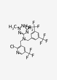 C=N/C(=N\N(C)N)N(Cc1cc(C(F)(F)F)cc(C(F)(F)F)c1)Cc1cc(C(F)(F)F)cnc1Cl